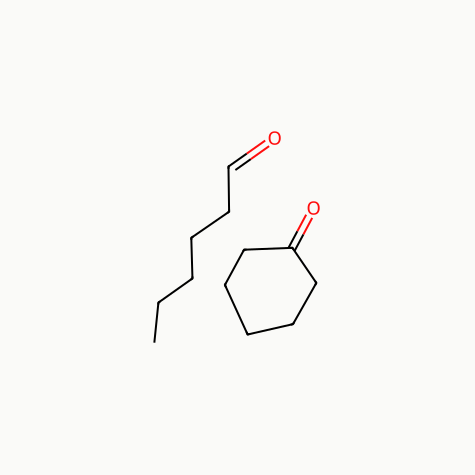 CCCCCC=O.O=C1CCCCC1